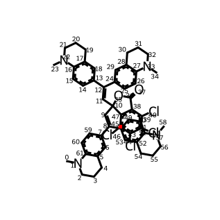 CN1CCCc2cc(C(=CC3(C=C(c4ccc5c(c4)CCCN5C)c4ccc5c(c4)CCCN5C)OC(=O)c4c(Cl)c(Cl)c(Cl)c(Cl)c43)c3ccc4c(c3)CCCN4C)ccc21